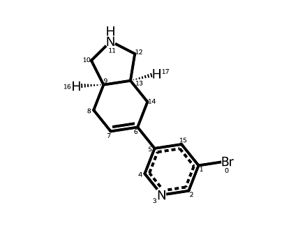 Brc1cncc(C2=CC[C@H]3CNC[C@H]3C2)c1